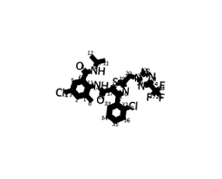 Cc1cc(Cl)cc(C(=O)NC(C)C)c1NC(=O)c1sc(Cn2nnc(C(F)(F)F)n2)nc1-c1ccccc1Cl